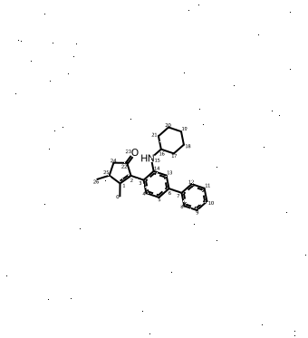 CC1=C(c2ccc(-c3ccccc3)cc2NC2CCCCC2)C(=O)CC1C